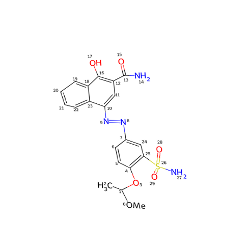 COC(C)Oc1ccc(N=Nc2cc(C(N)=O)c(O)c3ccccc23)cc1S(N)(=O)=O